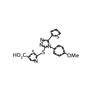 COc1ccc(-n2c(Sc3ncc(C(=O)O)s3)nnc2-c2cccs2)cc1